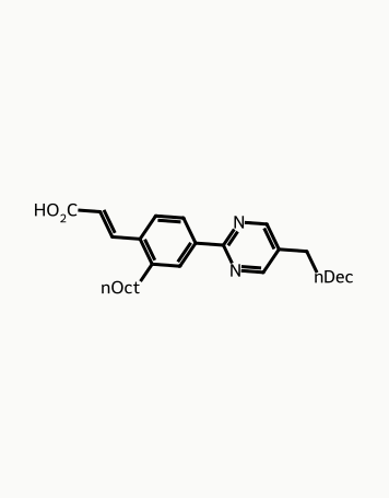 CCCCCCCCCCCc1cnc(-c2ccc(/C=C/C(=O)O)c(CCCCCCCC)c2)nc1